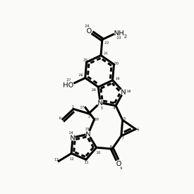 C=CCn1c(C2C=C2C(=O)c2cc(C)nn2CC)nc2cc(C(N)=O)cc(O)c21